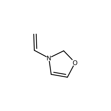 C=CN1C=COC1